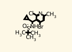 Cc1cc(Br)c(C(N[S+]([O-])C(C)(C)C)C2CC2)c(Cl)n1